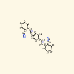 N#Cc1ccccc1/C=C/c1ccc(/C=C/c2ccccc2C#N)cc1